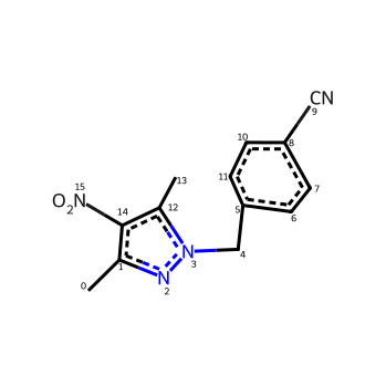 Cc1nn(Cc2ccc(C#N)cc2)c(C)c1[N+](=O)[O-]